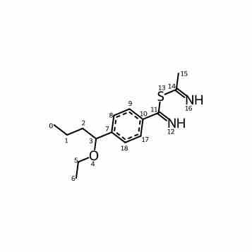 CCCC(OCC)c1ccc(C(=N)SC(C)=N)cc1